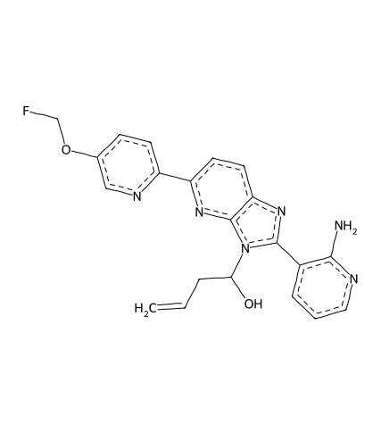 C=CCC(O)n1c(-c2cccnc2N)nc2ccc(-c3ccc(OCF)cn3)nc21